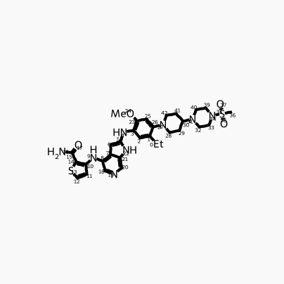 CCc1cc(Nc2cc3c(Nc4ccsc4C(N)=O)cncc3[nH]2)c(OC)cc1N1CCC(N2CCN(S(C)(=O)=O)CC2)CC1